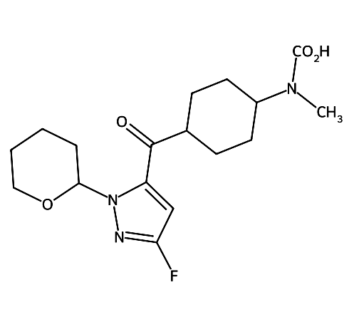 CN(C(=O)O)C1CCC(C(=O)c2cc(F)nn2C2CCCCO2)CC1